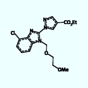 CCOC(=O)c1cnn(-c2nc3c(Cl)cccc3n2COCCOC)c1